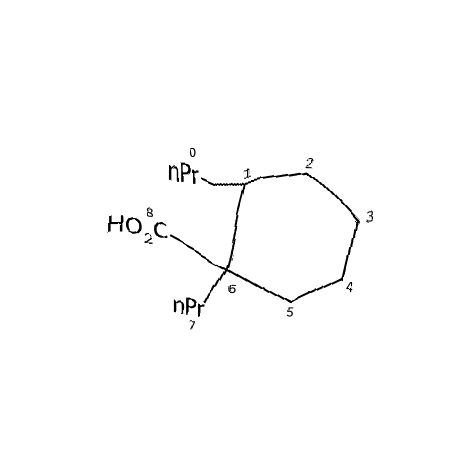 CCCC1CCCCC1(CCC)C(=O)O